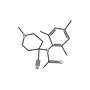 CC(=O)N(c1c(C)cc(C)cc1C)C1(C#N)CCN(C)CC1